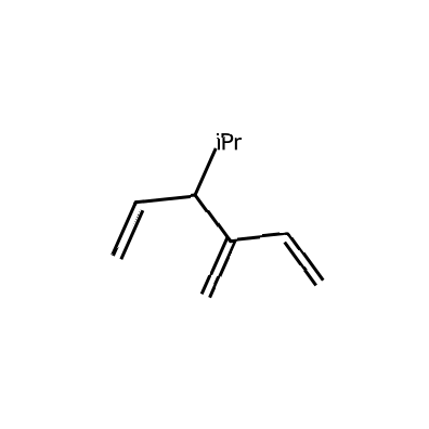 C=CC(=C)C(C=C)C(C)C